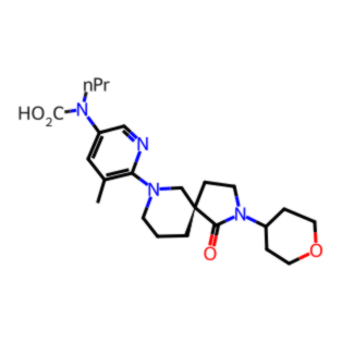 CCCN(C(=O)O)c1cnc(N2CCC[C@]3(CCN(C4CCOCC4)C3=O)C2)c(C)c1